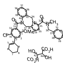 COc1cc(C2=CCCCC2)c(Cl)cc1C(=O)N1Cc2ccc(C(=O)N(C)Cc3cccnc3)n2Cc2ccccc21.O=C(O)C(O)C(O)C(=O)O